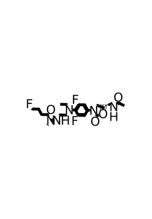 CCN(CCNN(C)C(=O)CCCF)c1c(F)cc(N2C[C@H](CNC(C)=O)OC2=O)cc1F